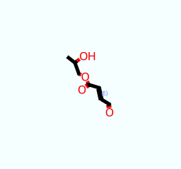 CC(O)COC(=O)/C=C/C=O